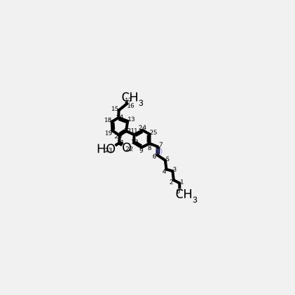 CCCCCC/C=C/c1ccc(-c2cc(CCC)ccc2C(=O)O)cc1